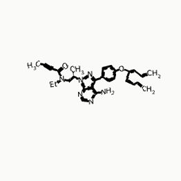 C=C/C=C\C(=C/C=C)Oc1ccc(-c2nn([C@@H](C)CN(CC)C(=O)C#CC)c3ncnc(N)c23)cc1